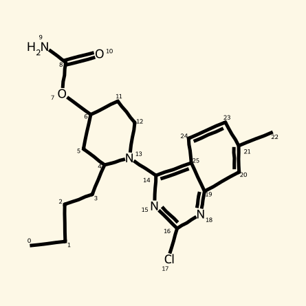 CCCCC1CC(OC(N)=O)CCN1c1nc(Cl)nc2cc(C)ccc12